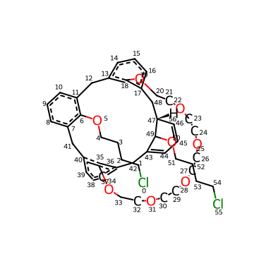 ClCCCCOc1c2cccc1Cc1cccc3c1OCCOCCOCCOCCOCCOc1c(cccc1C2)CC1=CC=C[C@@H](C3)C1OCCCCCl